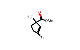 CCC1=CC(C)(C(=O)OC)CC1